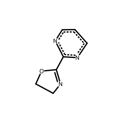 c1cnc(C2=NCCO2)nc1